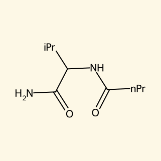 CCCC(=O)NC(C(N)=O)C(C)C